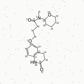 CN(C(=O)CCCOc1ccc2c(c1)CCC(=O)N2)C1CCCCO1